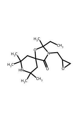 CCC1(C)OC2(CC(C)(C)NC(C)(C)C2)C(=O)N1CC1CO1